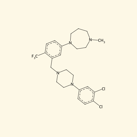 CN1CCCN(c2ccc(C(F)(F)F)c(CN3CCN(c4ccc(Cl)c(Cl)c4)CC3)c2)CC1